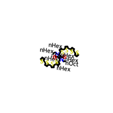 CCCCCCCCC(CCCCCC)CN1C(=O)C2=C(c3cc(CCCCCC)c(-c4ccc(-c5ccc(-c6sccc6CCCCCC)s5)s4)s3)N(CC(CCCCCC)CCCCCCCC)C(=O)C2=C1c1cc(CCCCCC)c(-c2ccc(-c3ccc(-c4sccc4CCCCCC)s3)s2)s1